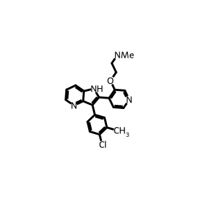 CNCCOc1cnccc1-c1[nH]c2cccnc2c1-c1ccc(Cl)c(C)c1